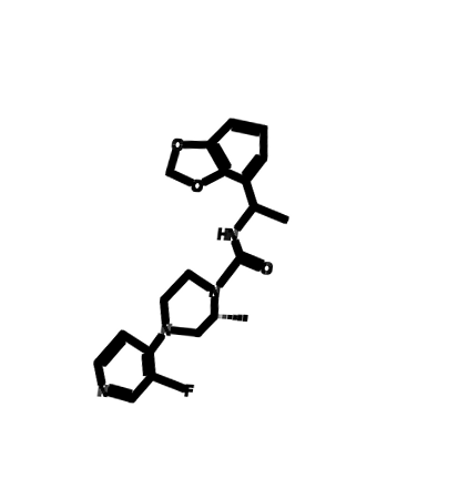 CC(NC(=O)N1CCN(c2ccncc2F)C[C@H]1C)c1cccc2c1OCO2